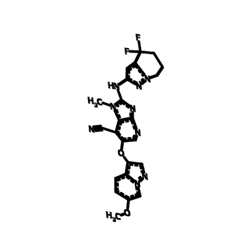 COc1ccc2c(Oc3cnc4nc(Nc5cc6n(n5)CCCC6(F)F)n(C)c4c3C#N)cnn2c1